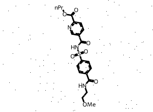 CCCOC(=O)c1ccc(C(=O)NS(=O)(=O)c2ccc(C(=O)NCCOC)cc2)cn1